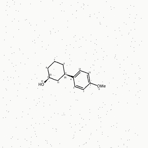 COc1ccc([C@@H]2CCC[C@H](O)C2)cc1